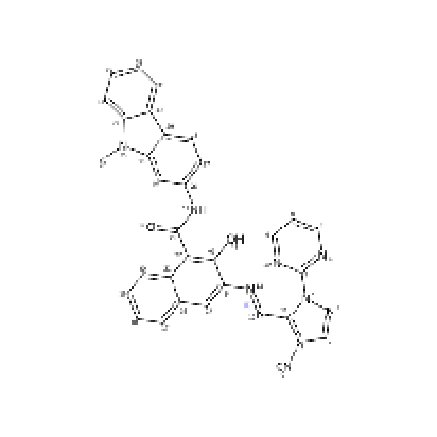 [C-]#[N+]c1cnn(-c2ncccn2)c1/N=N/c1cc2ccccc2c(C(=O)Nc2ccc3c4ccccc4n(C)c3c2)c1O